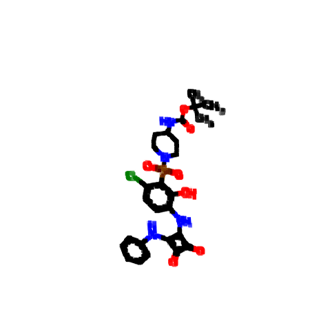 CC(C)(C)OC(=O)NC1CCN(S(=O)(=O)c2c(Cl)ccc(Nc3c(Nc4ccccc4)c(=O)c3=O)c2O)CC1